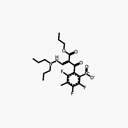 CCCOC(=O)C(=CNN(CCC)CCC)C(=O)c1c(F)c(C)c(F)c(F)c1[N+](=O)[O-]